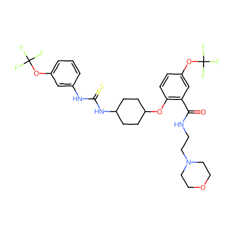 O=C(NCCN1CCOCC1)c1cc(OC(F)(F)F)ccc1OC1CCC(NC(=S)Nc2cccc(OC(F)(F)F)c2)CC1